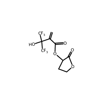 C=C(C(=O)OC1CCOC1=O)C(O)(C(F)(F)F)C(F)(F)F